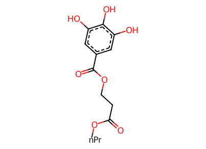 CCCOC(=O)CCOC(=O)c1cc(O)c(O)c(O)c1